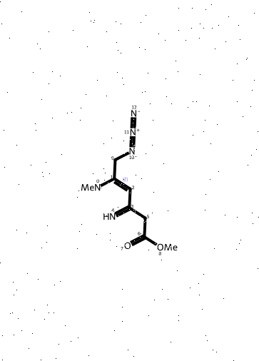 CN/C(=C\C(=N)CC(=O)OC)CN=[N+]=[N-]